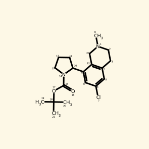 CN1CCc2cc(Cl)cc(C3CCCN3C(=O)OC(C)(C)C)c2C1